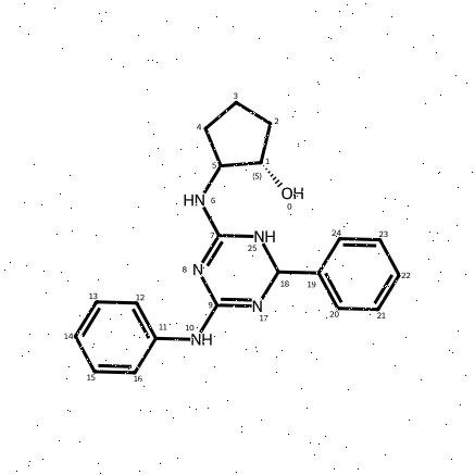 O[C@H]1CCCC1NC1=NC(Nc2ccccc2)=NC(c2ccccc2)N1